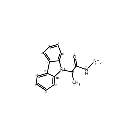 CC(C(=O)NN)n1c2ccccc2c2ccccc21